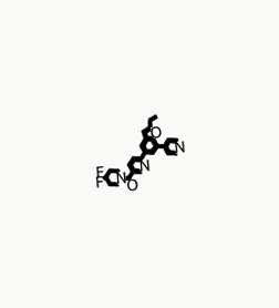 CCc1cc2cc(-c3ccc(C(=O)N4CCC(F)(F)CC4)cn3)cc(-c3ccncc3)c2o1